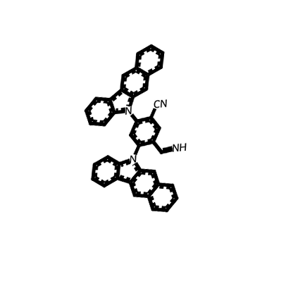 N#Cc1cc(C=N)c(-n2c3ccccc3c3cc4ccccc4cc32)cc1-n1c2ccccc2c2cc3ccccc3cc21